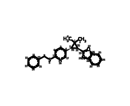 CC1(C)[C@@H](c2ccc(SCc3ccccc3)nc2)[C@@H]1c1nc2ccccc2o1